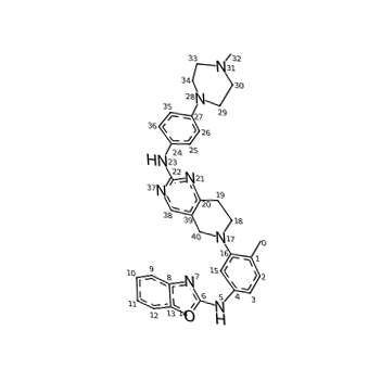 Cc1ccc(Nc2nc3ccccc3o2)cc1N1CCc2nc(Nc3ccc(N4CCN(C)CC4)cc3)ncc2C1